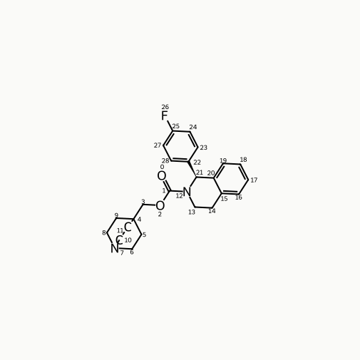 O=C(OCC12CCN(CC1)CC2)N1CCc2ccccc2[C@@H]1c1ccc(F)cc1